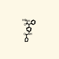 O=C(Nc1ccc(C(C(=O)NO)c2ccccc2)cc1)C1CCCC1